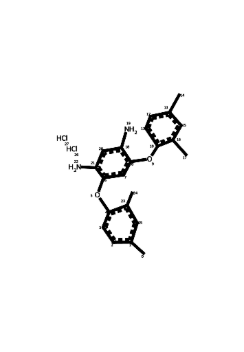 Cc1ccc(Oc2cc(Oc3ccc(C)cc3C)c(N)cc2N)c(C)c1.Cl.Cl